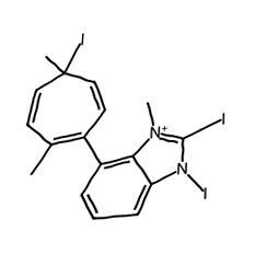 CC1=C(c2cccc3c2[n+](C)c(I)n3I)C=CC(C)(I)C=C1